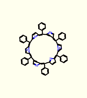 C1=Cc2nc1c(-c1ccccc1)c1cc(c(-c3ccccc3)c3ccc([nH]3)c(-c3ccccc3)c3nc(c(-c4ccccc4)c4cc(c(-c5ccccc5)c5ccc([nH]5)c2-c2ccccc2)C=N4)C=C3)C=N1